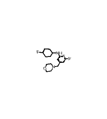 FC1CCC(Nc2cc(CN3CCOCC3)cc(Br)n2)CC1